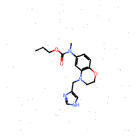 CCCOC(=O)N(C)c1ccc2c(c1)N(Cc1c[nH]cn1)CCO2